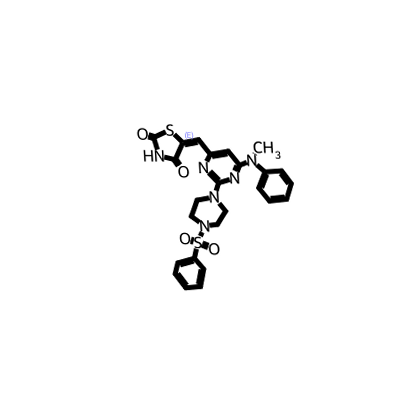 CN(c1ccccc1)c1cc(/C=C2/SC(=O)NC2=O)nc(N2CCN(S(=O)(=O)c3ccccc3)CC2)n1